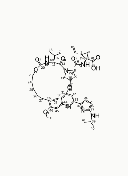 C=C[C@@H]1C[C@]1(NC(=O)[C@@H]1C[C@@H]2CN1C(=O)[C@H](C(C)C)NC(=O)OCCCCCc1cc3c(cc(-c4csc(NC(C)C)n4)nc3cc1OC)O2)C(=O)O